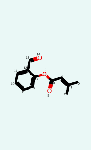 CC(C)=CC(=O)Oc1ccccc1C=O